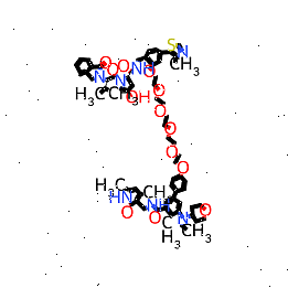 CCN(c1cc(-c2ccc(OCCOCCOCCOCCOCCOc3cc(-c4scnc4C)ccc3CNC(=O)[C@@H]3C[C@@H](O)CN3C(=O)[C@H](C(C)C)N3Cc4ccccc4C3=O)cc2)cc(C(=O)NCc2c(C)cc(C)[nH]c2=O)c1C)C1CCOCC1